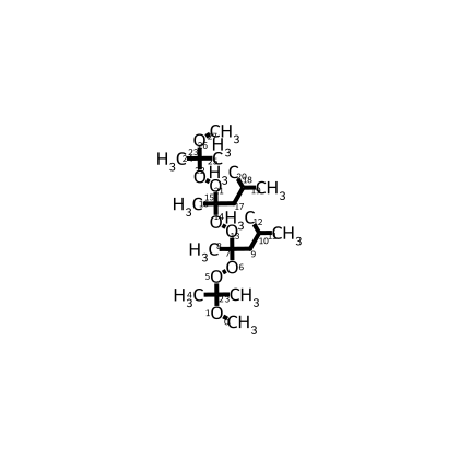 COC(C)(C)OOC(C)(CC(C)C)OOC(C)(CC(C)C)OOC(C)(C)OC